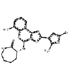 CCn1cc(-c2nc3c4cccc(C)c4nc(N[C@@H]4CCCCNC4=O)n3n2)c(C)n1